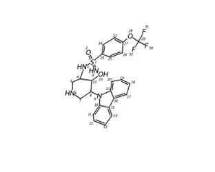 N=S(=O)(NC1CNCC(n2c3ccccc3c3ccccc32)C1O)c1ccc(OC(F)(F)F)cc1